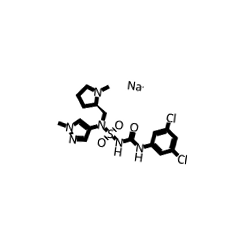 CN1CCC[C@@H]1CN(c1cnn(C)c1)S(=O)(=O)NC(=O)Nc1cc(Cl)cc(Cl)c1.[Na]